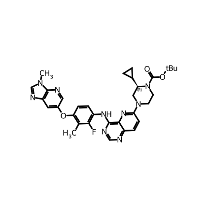 Cc1c(Oc2cnc3c(c2)ncn3C)ccc(Nc2ncnc3ccc(N4CCN(C(=O)OC(C)(C)C)[C@H](C5CC5)C4)nc23)c1F